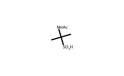 CC(=O)NC(C)(C)S(=O)(=O)O